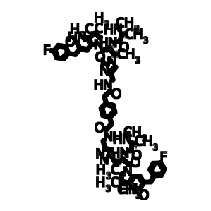 CN[C@@H](C)C(=O)N[C@H](C(=O)N1CC(C)(C)c2[nH]c(=O)c(Cc3ccc(F)cc3)cc21)[C@H](C)n1cc(CNC(=O)Cc2ccc(CC(=O)NCc3cn([C@@H](C)[C@H](NC(=O)[C@H](C)NC)C(=O)N4CC(C)(C)c5[nH]c(=O)c(Cc6ccc(F)cc6)cc54)nn3)cc2)nn1